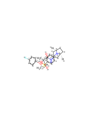 CC(C)(Oc1ccc(F)cc1)C(=O)N[C@H]1C[C@H]2CC[C@@H](C1)N2c1ccc(S(C)(=O)=O)cc1